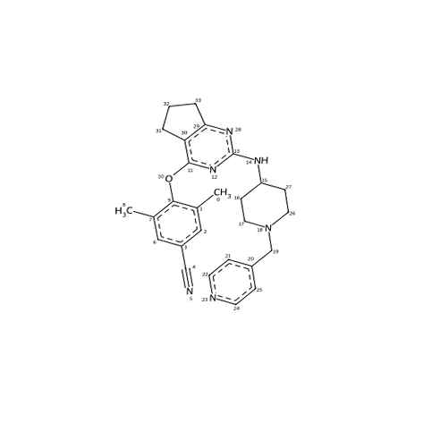 Cc1cc(C#N)cc(C)c1Oc1nc(NC2CCN(Cc3ccncc3)CC2)nc2c1CCC2